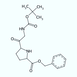 CC(C)(C)OC(=O)NCC(=O)C1CCC(C(=O)OCc2ccccc2)N1